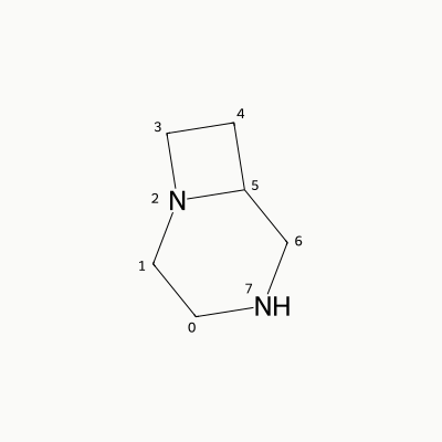 C1CN2CCC2CN1